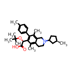 Cc1ccc(-c2c(C)c3c(c(C)c2[C@H](OC(C)(C)C)C(=O)O)CCN(C2CC[C@@H](C)C2)C3)cc1